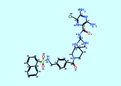 Nc1nc(N)c(C(=O)/N=C2\NCC3(CCN(C(=O)c4ccc(CNS(=O)(=O)c5cccc6ccccc56)cc4)CC3)N2)nc1Cl